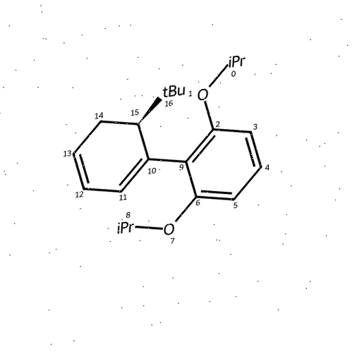 CC(C)Oc1cccc(OC(C)C)c1C1=CC=CC[C@H]1C(C)(C)C